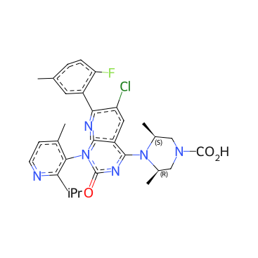 Cc1ccc(F)c(-c2nc3c(cc2Cl)c(N2[C@H](C)CN(C(=O)O)C[C@@H]2C)nc(=O)n3-c2c(C)ccnc2C(C)C)c1